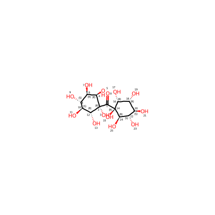 O=C([C@]1(O)[C@H](O)[C@H](O)[C@@H](O)[C@H](O)[C@H]1O)[C@]1(O)[C@H](O)[C@H](O)[C@@H](O)[C@H](O)[C@H]1O